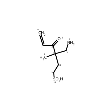 C=CC(=O)C(C)(CN)CCS(=O)(=O)O